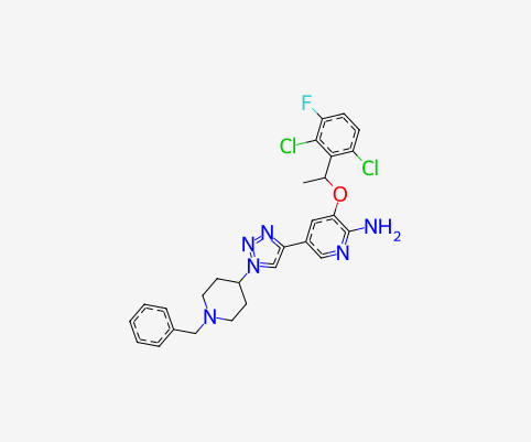 CC(Oc1cc(-c2cn(C3CCN(Cc4ccccc4)CC3)nn2)cnc1N)c1c(Cl)ccc(F)c1Cl